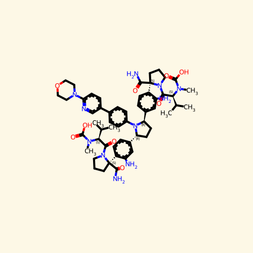 CC(C)[C@@H](C(=O)N1CCC[C@@]1(C(N)=O)c1ccc([C@H]2CC[C@H](c3ccc([C@]4(C(N)=O)CCCN4C(=O)[C@H](C(C)C)N(C)C(=O)O)c(N)c3)N2c2ccc(-c3ccc(N4CCOCC4)nc3)cc2)cc1N)N(C)C(=O)O